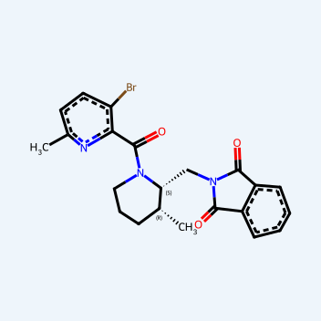 Cc1ccc(Br)c(C(=O)N2CCC[C@@H](C)[C@H]2CN2C(=O)c3ccccc3C2=O)n1